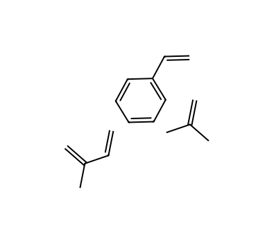 C=C(C)C.C=CC(=C)C.C=Cc1ccccc1